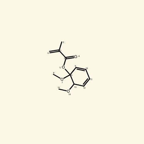 C=C(C)C(=O)OC1(OC)C=CC=CC1OC